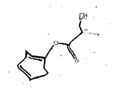 C[C@@H](O)C(=O)OC1=CC=CC1